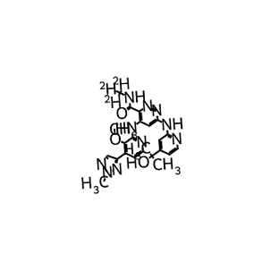 [2H]C([2H])([2H])NC(=O)c1nnc(Nc2cc(C(C)(C)O)ccn2)cc1Nc1nccc(-c2cnn(C)n2)c1OC